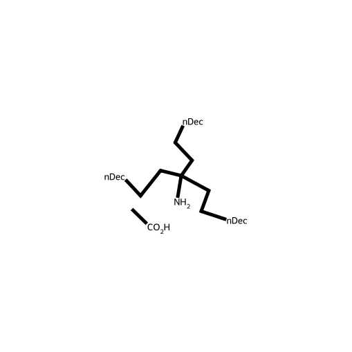 CC(=O)O.CCCCCCCCCCCCC(N)(CCCCCCCCCCCC)CCCCCCCCCCCC